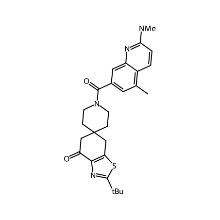 CNc1ccc2c(C)cc(C(=O)N3CCC4(CC3)CC(=O)c3nc(C(C)(C)C)sc3C4)cc2n1